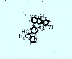 C[C@@](O)(c1cccnc1)C1CCN(C(=O)[C@@]23C[C@@H](c4ccccc42)c2ccc(Cl)cc23)CC1